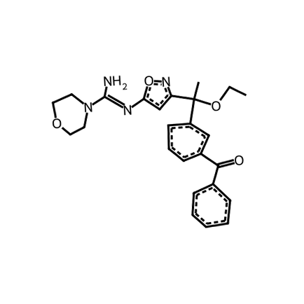 CCOC(C)(c1cccc(C(=O)c2ccccc2)c1)c1cc(/N=C(\N)N2CCOCC2)on1